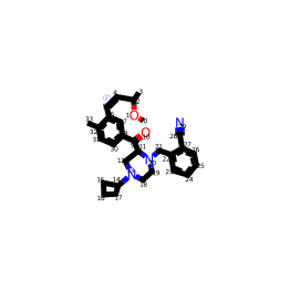 COC(C)/C=C\c1cc(C(=O)C2CN(C3CCC3)CCN2Cc2ccccc2C#N)ccc1C